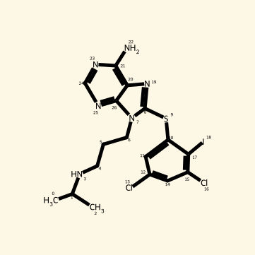 CC(C)NCCCn1c(Sc2cc(Cl)cc(Cl)c2I)nc2c(N)ncnc21